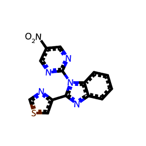 O=[N+]([O-])c1cnc(-n2c(-c3cscn3)nc3ccccc32)nc1